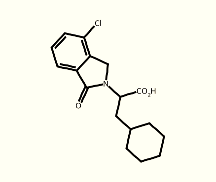 O=C(O)C(CC1CCCCC1)N1Cc2c(Cl)cccc2C1=O